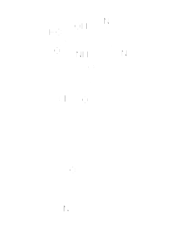 Cc1c(COc2cc(OCc3cncc(C#N)c3)c(C(C)N[C@@H](CO)C(=O)O)cc2Cl)cccc1-c1cccc(OCCCN2CCCC2)c1C